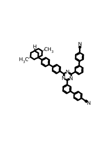 C[C@@H]1C[C@@H]2C[C@H](C)CC(c3ccc(-c4ccc(-c5nc(-c6cccc(-c7ccc(C#N)cc7)c6)nc(-c6cccc(-c7ccc(C#N)cc7)c6)n5)cc4)cc3)(C1)C2